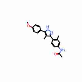 COc1ccc(-c2[nH]nc(-c3ccc(NC(C)=O)cc3C)c2C)cc1